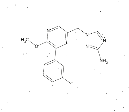 COc1ncc(Cn2cnc(N)n2)cc1-c1cccc(F)c1